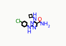 NC(=O)c1cnc(Nc2ccc(Cl)cc2)nc1NC1CCC1